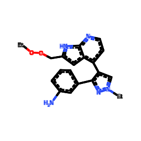 CCOOCc1cc2c(-c3cn(CC)nc3-c3cccc(N)c3)ccnc2[nH]1